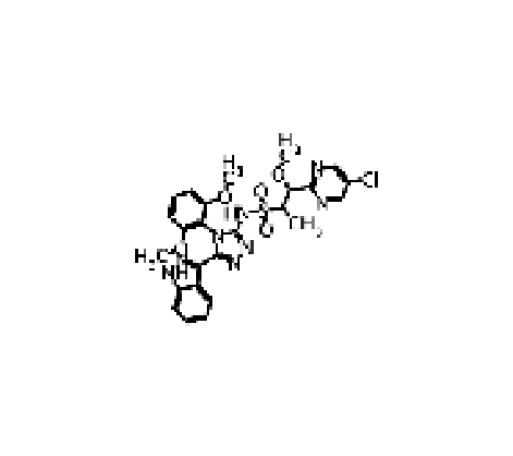 COc1cccc(OC)c1-n1c(NS(=O)(=O)C(C)C(OC)c2ncc(Cl)cn2)nnc1-c1n[nH]c2ccccc12